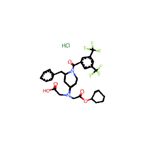 Cl.O=C(O)CN(CC(=O)OC1CCCCC1)C1CCN(C(=O)c2cc(C(F)(F)F)cc(C(F)(F)F)c2)C(Cc2ccccc2)C1